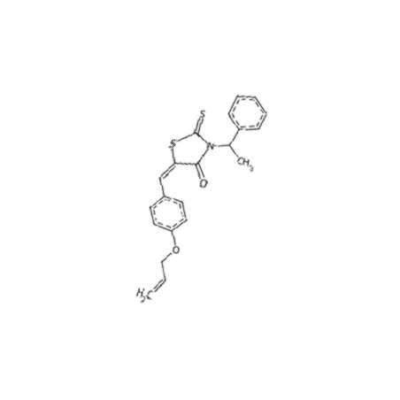 C=CCOc1ccc(C=C2SC(=S)N(C(C)c3ccccc3)C2=O)cc1